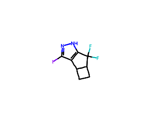 FC1(F)c2[nH]nc(I)c2C2CCC21